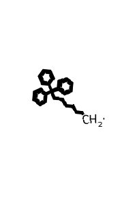 [CH2]CCCCCCC(c1ccccc1)(c1ccccc1)c1ccccc1